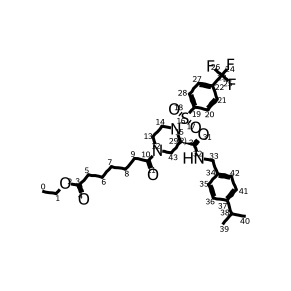 CCOC(=O)CCCCCC(=O)N1CCN(S(=O)(=O)c2ccc(C(F)(F)F)cc2)[C@@H](C(=O)NCc2ccc(C(C)C)cc2)C1